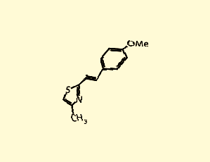 COc1ccc(/C=C/c2nc(C)cs2)cc1